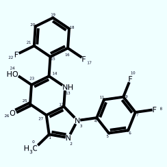 Cc1nn(-c2ccc(F)c(F)c2)c2[nH]c(-c3c(F)cccc3F)c(O)c(=O)c12